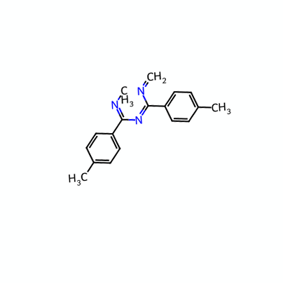 C=N/C(=N\C(=N/C)c1ccc(C)cc1)c1ccc(C)cc1